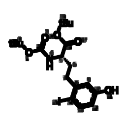 CC(C)(C)OC(=O)N[C@@H](CCc1cc(O)ccc1I)C(=O)OC(C)(C)C